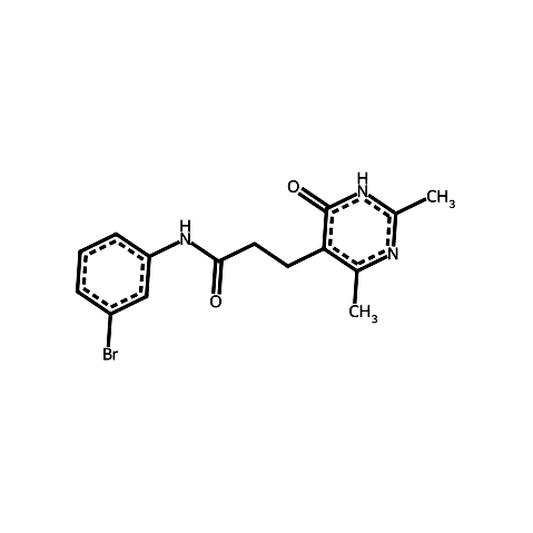 Cc1nc(C)c(CCC(=O)Nc2cccc(Br)c2)c(=O)[nH]1